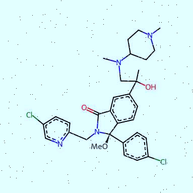 CO[C@]1(c2ccc(Cl)cc2)c2ccc(C(C)(O)CN(C)C3CCN(C)CC3)cc2C(=O)N1Cc1ccc(Cl)cn1